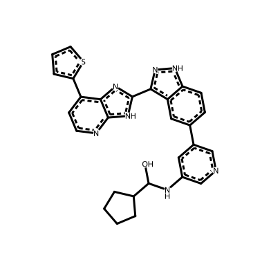 OC(Nc1cncc(-c2ccc3[nH]nc(-c4nc5c(-c6cccs6)ccnc5[nH]4)c3c2)c1)C1CCCC1